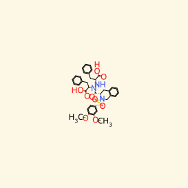 COc1ccc(S(=O)(=O)N2Cc3ccccc3C[C@H]2C(=O)N(NC(Cc2ccccc2)C(=O)O)C(Cc2ccccc2)C(=O)O)cc1OC